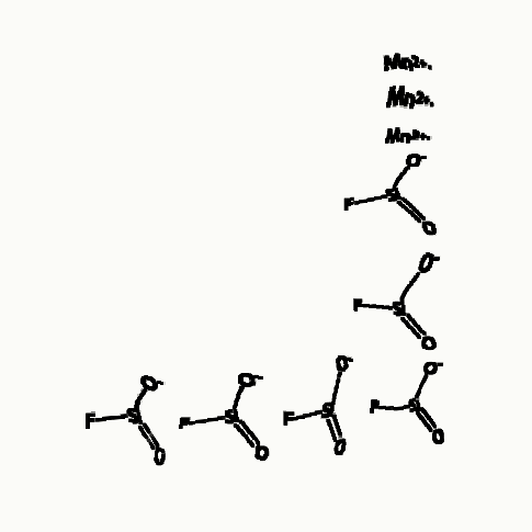 O=[Si]([O-])F.O=[Si]([O-])F.O=[Si]([O-])F.O=[Si]([O-])F.O=[Si]([O-])F.O=[Si]([O-])F.[Mn+2].[Mn+2].[Mn+2]